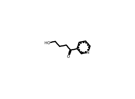 O=C(CCCO)c1cccnc1